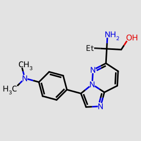 CCC(N)(CO)c1ccc2ncc(-c3ccc(N(C)C)cc3)n2n1